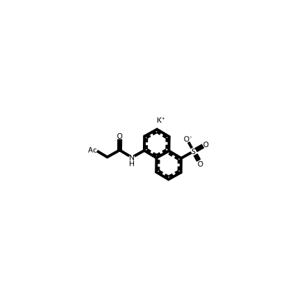 CC(=O)CC(=O)Nc1cccc2c(S(=O)(=O)[O-])cccc12.[K+]